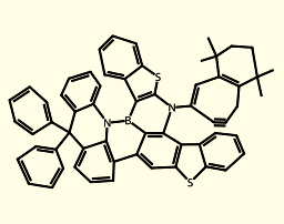 CC1(C)CCC(C)(C)C2=C1C=C(N1c3sc4ccccc4c3B3c4c(cc5sc6ccccc6c5c41)-c1cccc4c1N3c1ccccc1C4(c1ccccc1)c1ccccc1)C#CC2